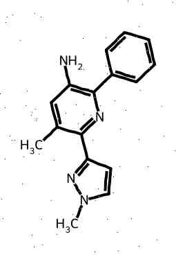 Cc1cc(N)c(-c2ccccc2)nc1-c1ccn(C)n1